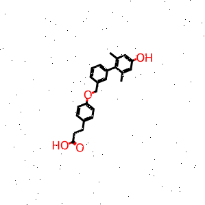 Cc1cc(O)cc(C)c1-c1cccc(COc2ccc(CCC(=O)O)cc2)c1